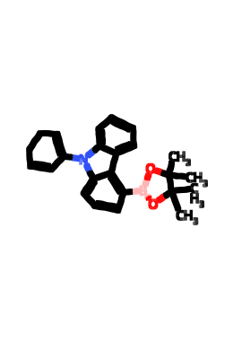 CC1(C)OB(c2cccc3c2c2ccccc2n3C2=CCCC=C2)OC1(C)C